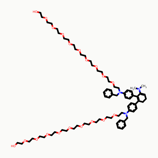 CN(C)C1=CC[CH]C(c2ccc(N(CCOCCOCCOCCOCCOCCOCCOCCOCCOCCO)Cc3ccccc3)cc2)=C1c1ccc(N(CCOCCOCCOCCOCCOCCOCCOCCOCCOCCO)Cc2ccccc2)cc1